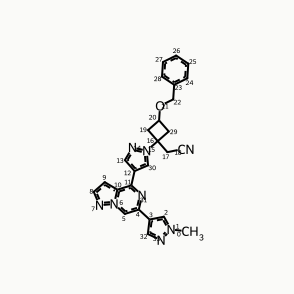 Cn1cc(-c2cn3nccc3c(-c3cnn(C4(CC#N)CC(OCc5ccccc5)C4)c3)n2)cn1